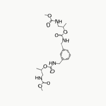 COC(=O)NCC(C)OC(=O)NCc1cccc(CNC(=O)OC(C)CNC(=O)OC)c1